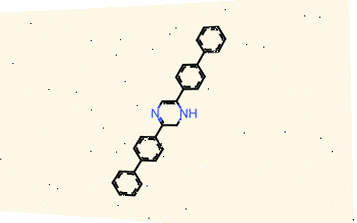 C1=C(c2ccc(-c3ccccc3)cc2)NCC(c2ccc(-c3ccccc3)cc2)=N1